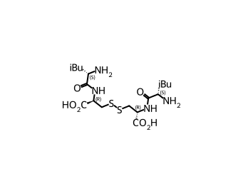 CCC(C)[C@H](N)C(=O)N[C@@H](CSSC[C@H](NC(=O)[C@@H](N)C(C)CC)C(=O)O)C(=O)O